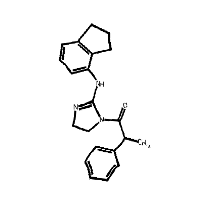 CC(C(=O)N1CCN=C1Nc1cccc2c1CCC2)c1ccccc1